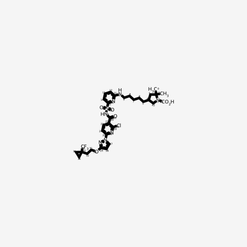 CC1(C)CC(CCCCCNc2cccc(S(=O)(=O)NC(=O)c3ccc(-n4ccc(OCCC5(C(F)(F)F)CC5)n4)nc3Cl)n2)CN1C(=O)O